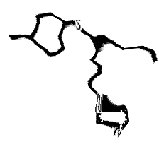 CCCCC(CCCn1ccnc1)SC1CCC(C)CC1